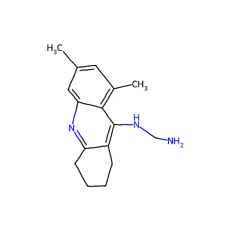 Cc1cc(C)c2c(NCN)c3c(nc2c1)CCCC3